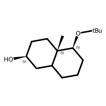 CC(C)(C)O[C@H]1CCCC2C[C@@H](O)CC[C@@]21C